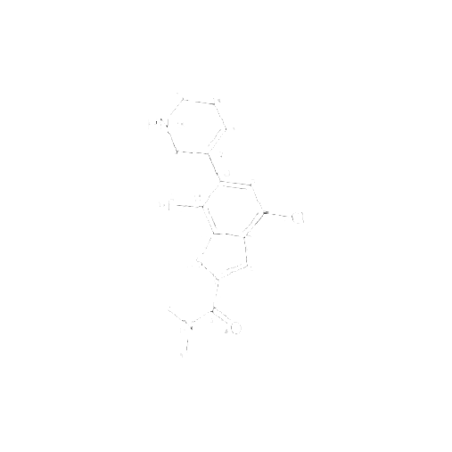 CN(C)C(=O)c1cc2c(Cl)cc(C3=CCCNC3)c(F)c2s1